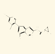 Cc1cc(N)ncc1-c1cc(N)c2nnc(NC(=O)[C@H]3C[C@H]3F)cc2c1